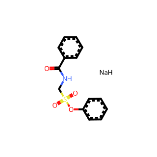 O=C(NCS(=O)(=O)Oc1ccccc1)c1ccccc1.[NaH]